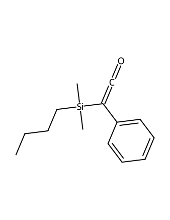 CCCC[Si](C)(C)C(=C=O)c1ccccc1